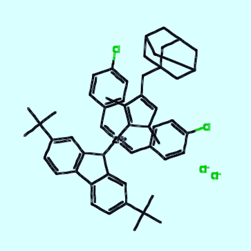 CC1=[C]([Zr+2](=[CH]c2ccc(Cl)cc2)(=[CH]c2ccc(Cl)cc2)[CH]2c3cc(C(C)(C)C)ccc3-c3ccc(C(C)(C)C)cc32)C(C)C=C1CC12CC3CC(CC(C3)C1)C2.[Cl-].[Cl-]